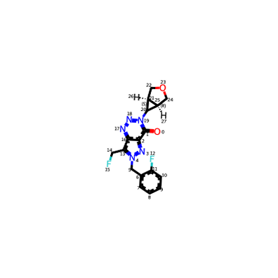 O=c1c2nn(Cc3ccccc3F)c(CF)c2nnn1C1[C@H]2COC[C@@H]12